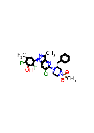 Cc1nn(-c2cc(C(F)(F)F)c(F)c(O)c2F)c2cc(Cl)c(N3CCN(S(C)(=O)=O)C[C@H]3Cc3ccccc3)nc12